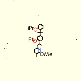 CCOc1cc(C(C)(C)c2ccccc2OC(C)C)ccc1C(C)Cc1ccc(C)c(OC)n1